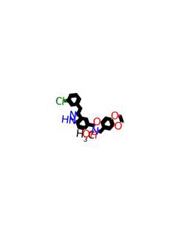 CN(Cc1ccc2c(c1)OCCO2)C(=O)c1cc2c(Cc3cccc(Cl)c3)n[nH]c2cc1O